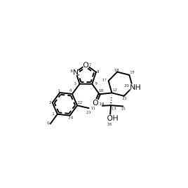 Cc1ccc(-c2nocc2C(=O)[C@@]2(C(C)(C)O)CCCNC2)c(C)c1